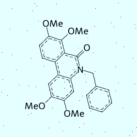 COc1cc2c3ccc(OC)c(OC)c3c(=O)n(Cc3ccccc3)c2cc1OC